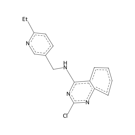 CCc1ccc(CNc2nc(Cl)nc3ccccc23)cn1